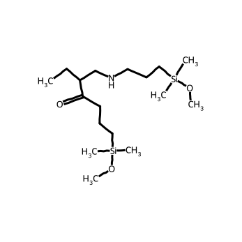 CCC(CNCCC[Si](C)(C)OC)C(=O)CCC[Si](C)(C)OC